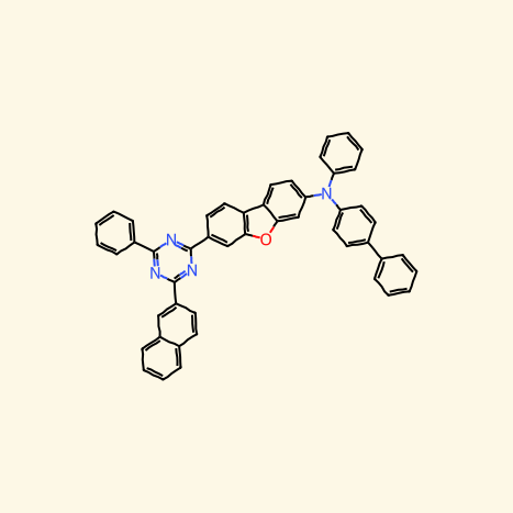 c1ccc(-c2ccc(N(c3ccccc3)c3ccc4c(c3)oc3cc(-c5nc(-c6ccccc6)nc(-c6ccc7ccccc7c6)n5)ccc34)cc2)cc1